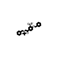 CC(C)(C)N(CC(=O)c1ccc(OCc2ccccc2)c([N+](=O)[O-])c1)Cc1ccccc1